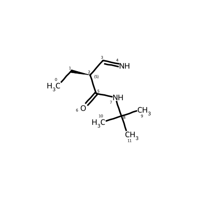 CC[C@@H](C=N)C(=O)NC(C)(C)C